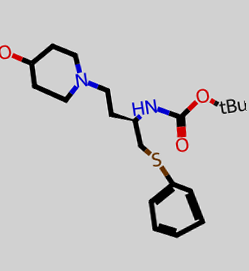 CC(C)(C)OC(=O)N[C@H](CCN1CCC(O)CC1)CSc1ccccc1